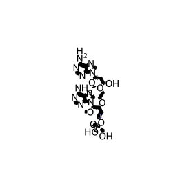 COC([C@H](/C=C/OP(=O)(O)CO)OCCO[C@@H](O)C[C@@H](OC)n1cnc2c(N)ncnc21)n1cnc2c(N)ncnc21